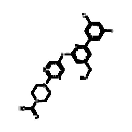 O=C(O)N1CCN(c2ncc(Oc3cc(CO)cc(-c4cc(F)cc(Cl)c4)n3)cn2)CC1